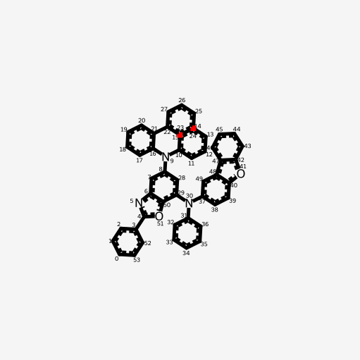 c1ccc(-c2nc3cc(N(c4ccccc4)c4ccccc4-c4ccccc4)cc(N(c4ccccc4)c4ccc5oc6ccccc6c5c4)c3o2)cc1